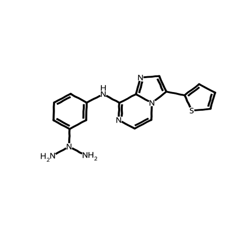 NN(N)c1cccc(Nc2nccn3c(-c4cccs4)cnc23)c1